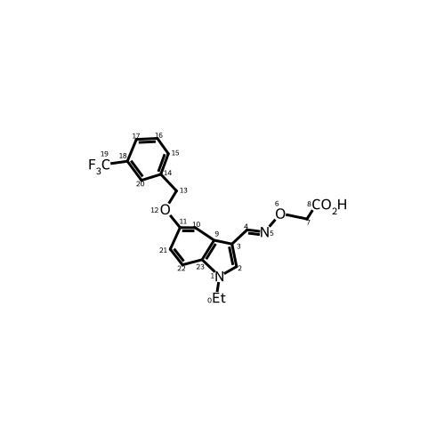 CCn1cc(/C=N/OCC(=O)O)c2cc(OCc3cccc(C(F)(F)F)c3)ccc21